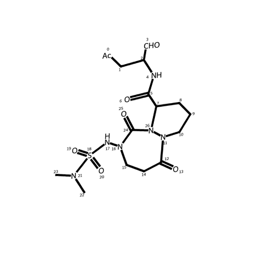 CC(=O)CC(C=O)NC(=O)C1CCCN2C(=O)CCN(NS(=O)(=O)N(C)C)C(=O)N12